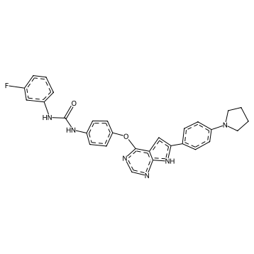 O=C(Nc1ccc(Oc2ncnc3[nH]c(-c4ccc(N5CCCC5)cc4)cc23)cc1)Nc1cccc(F)c1